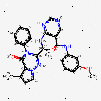 COc1cccc(NC(=O)c2cncnc2N[C@@H](C)c2nn3ccc(C)c3c(=O)n2-c2ccccc2)c1